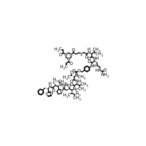 C=CC(=O)N1CN(C(=O)C=C)CN(C(=O)CCSCC(=O)N[C@H](C(=O)N[C@@H](CCCNC(N)=O)C(=O)Nc2ccc(COC(=O)N(C)[C@H](C(=O)N[C@H](C(=O)N(C)[C@@H](C(C)CC)[C@@H](CC(=O)N3CCCC3[C@H](OC)[C@@H](C)C(=O)N[C@@H](Cc3ccccc3)c3nccs3)OC)C(C)C)C(C)C)cc2)C(C)C)C1